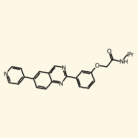 CC(C)NC(=O)COc1cccc(-c2ncc3cc(-c4ccncc4)ccc3n2)c1